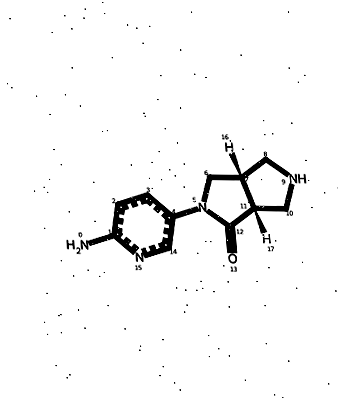 Nc1ccc(N2C[C@@H]3CNC[C@@H]3C2=O)cn1